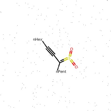 CCCCCCC#CC(CCCCC)=S(=O)=O